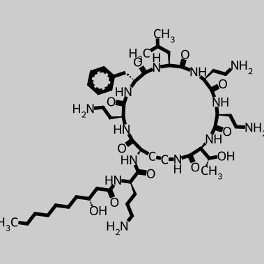 CCCCCCC[C@@H](O)CC(=O)N[C@H](CCCN)C(=O)N[C@H]1CCNC(=O)[C@H]([C@@H](C)O)NC(=O)[C@H](CCN)NC(=O)[C@H](CCN)NC(=O)[C@H](CC(C)C)NC(=O)[C@@H](Cc2ccccc2)NC(=O)[C@H](CCN)NC1=O